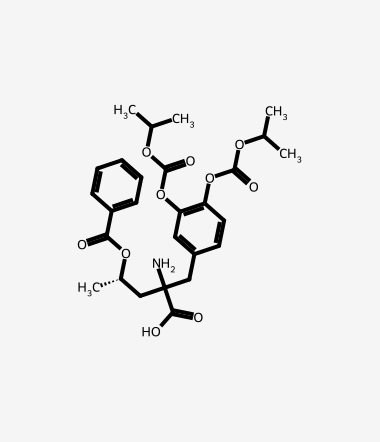 CC(C)OC(=O)Oc1ccc(CC(N)(C[C@H](C)OC(=O)c2ccccc2)C(=O)O)cc1OC(=O)OC(C)C